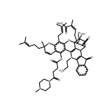 COC(=O)/C(C)=C\CC1(O)C(=O)C2CC(C(C)C)C13Oc1c(CC=C(C)C)c4c(c(OC(=O)CCC(=O)N5CCN(C)CC5)c1C1=C3C2C2=C(c3ccccc3C2=O)N1CCN)C=CC(C)(CCC=C(C)C)O4